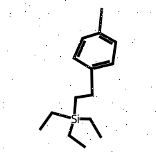 CC[Si](CC)(CC)CCc1ccc(C)cc1